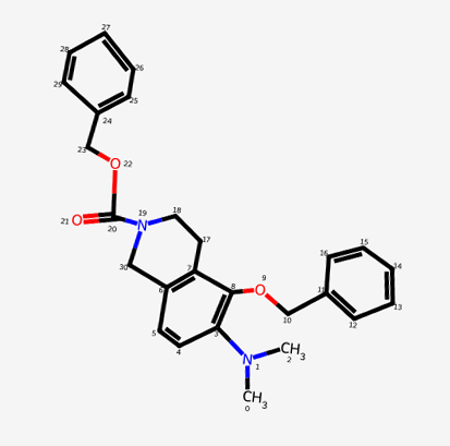 CN(C)c1ccc2c(c1OCc1ccccc1)CCN(C(=O)OCc1ccccc1)C2